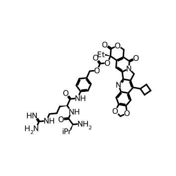 CC[C@@]1(OC(=O)OCc2ccc(NC(=O)[C@H](CCCNC(=N)N)NC(=O)[C@@H](N)C(C)C)cc2)C(=O)OCc2c1cc1n(c2=O)Cc2c-1nc1cc3c(cc1c2C1CCC1)OCO3